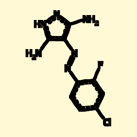 Nc1n[nH]c(N)c1N=Nc1ccc(Cl)cc1F